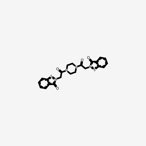 O=C(Cn1sc2ccccc2c1=O)N1CCN(C(=O)Cn2sc3ccccc3c2=O)CC1